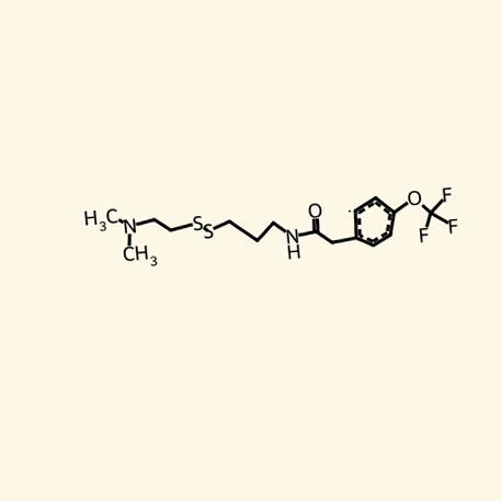 CN(C)CCSSCCCNC(=O)Cc1[c]cc(OC(F)(F)F)cc1